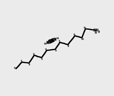 CCCCCCCCCCCCN.N#N